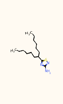 CCCCCCC(CCCCCC)c1nc(N)ns1